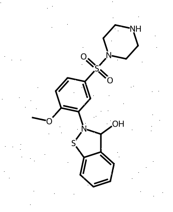 COc1ccc(S(=O)(=O)N2CCNCC2)cc1N1Sc2ccccc2C1O